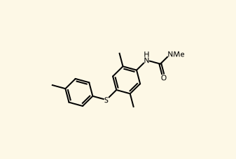 CNC(=O)Nc1cc(C)c(Sc2ccc(C)cc2)cc1C